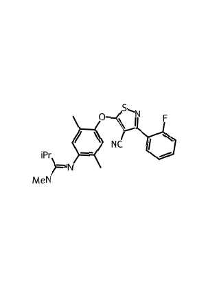 CNC(=Nc1cc(C)c(Oc2snc(-c3ccccc3F)c2C#N)cc1C)C(C)C